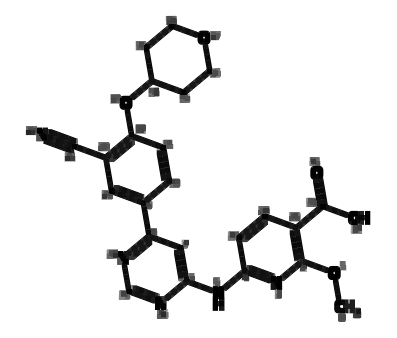 COc1nc(Nc2cc(-c3ccc(OC4CCOCC4)c(C#N)c3)ncn2)ccc1C(=O)O